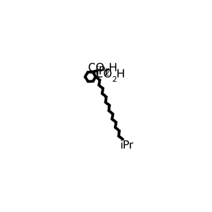 CC(C)CCCCCCCCCCCCCCCC1(C(=O)O)CCCCC1(C(=O)O)C(C)C